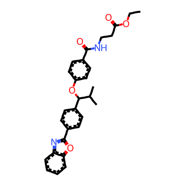 CCOC(=O)CCNC(=O)c1ccc(OC(c2ccc(-c3nc4ccccc4o3)cc2)C(C)C)cc1